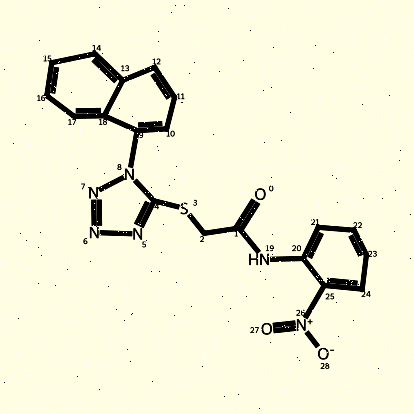 O=C(CSc1nnnn1-c1cccc2ccccc12)Nc1ccccc1[N+](=O)[O-]